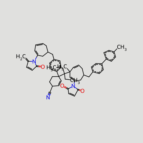 C=C1C=CC(=O)N1C1=CC=CCC(Cc2ccc(C3(C(CC)(CC)C4(C)/C=C\CC(Cc5ccc(-c6ccc(C)cc6)cc5)C/C(N5C(=O)C=CC5=O)=C\4)C=CC(C#N)CC3)cc2)C1